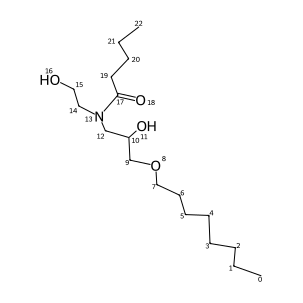 CCCCCCCCOCC(O)CN(CCO)C(=O)CCCC